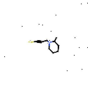 CC1CCCCN1CC#CS